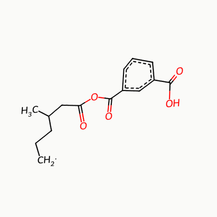 [CH2]CCC(C)CC(=O)OC(=O)c1cccc(C(=O)O)c1